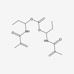 C=C(OC(CC)NC(=O)C(=C)C)OC(CC)NC(=O)C(=C)C